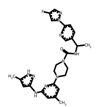 Cc1cc(Nc2cc(C)[nH]n2)nc(N2CCN(C(=O)NC(C)c3ccc(-n4cc(F)cn4)nc3)CC2)c1